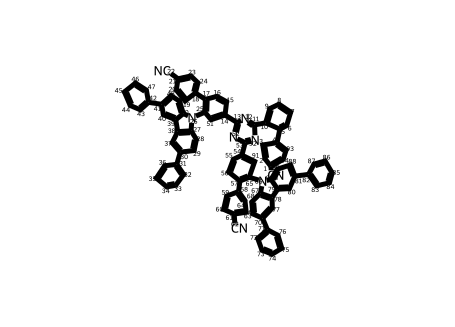 N#Cc1ccc(-c2ccccc2-c2nc(-c3ccc(-c4ccc(C#N)cc4)c(-n4c5ccc(-c6ccccc6)cc5c5cc(-c6ccccc6)ccc54)c3)nc(-c3ccc(-c4ccc(C#N)cc4)c(-n4c5ccc(-c6ccccc6)cc5c5cc(-c6ccccc6)ccc54)c3)n2)cc1